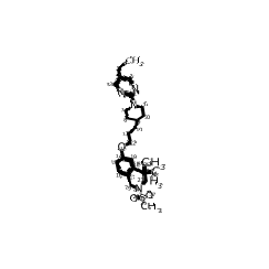 CCc1cnc(N2CCC(CCCOc3ccc4c(c3)C(C)(C)CN(S(C)(=O)=O)C4)CC2)nc1